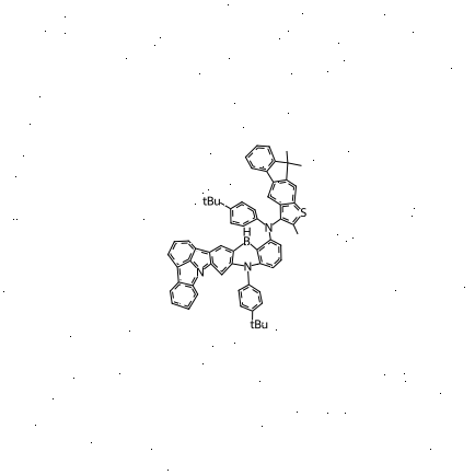 Cc1sc2cc3c(cc2c1N(c1ccc(C(C)(C)C)cc1)c1cccc2c1Bc1cc4c5cccc6c7ccccc7n(c4cc1N2c1ccc(C(C)(C)C)cc1)c65)-c1ccccc1C3(C)C